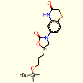 CC(C)(C)[Si](C)(C)OCCC[C@H]1CN(c2ccc3c(c2)NC(=O)CS3)C(=O)O1